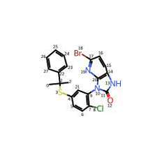 CC(C)(Sc1ccc(Cl)c(-n2c(=O)[nH]c3ccc(Br)nc32)c1)c1ccccc1